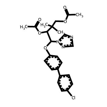 CC(=O)OCC(C)(C)C(OC(C)=O)C(Oc1ccc(-c2ccc(Cl)cc2)cc1)n1cncn1